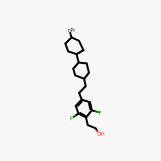 CCCC1CCC(C2CCC(CCc3cc(F)c(CCO)c(F)c3)CC2)CC1